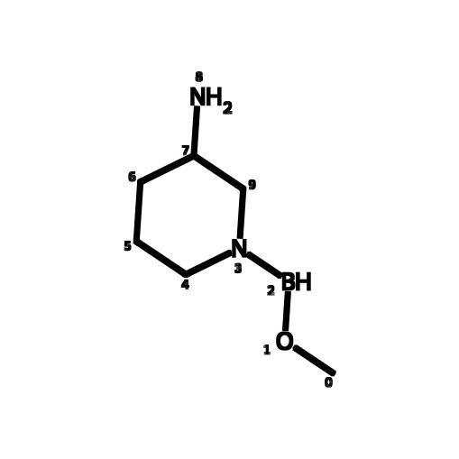 COBN1CCCC(N)C1